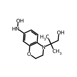 CC(C)(CO)N1CCOc2cc(NO)ccc21